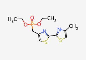 CCOP(=O)(Cc1csc(-c2nc(C)cs2)n1)OCC